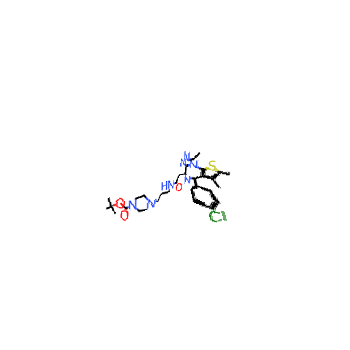 Cc1sc2c(c1C)C(c1ccc(Cl)cc1)=NC(CC(=O)NCCCN1CCN(C(=O)OC(C)(C)C)CC1)c1nnc(C)n1-2